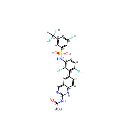 CC(C)(C)C(=O)Nc1ncc2cc(-c3c(F)ccc(NS(=O)(=O)c4cc(F)cc(C(C)(F)F)c4)c3F)ccc2n1